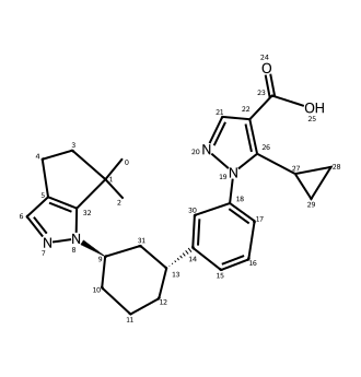 CC1(C)CCc2cnn([C@@H]3CCC[C@@H](c4cccc(-n5ncc(C(=O)O)c5C5CC5)c4)C3)c21